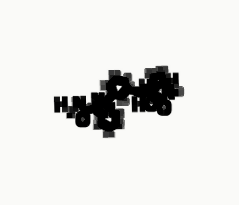 CN1C(=O)[C@@](O)(C#Cc2cccc(-c3nc(C(N)=O)c4ccccn34)c2)[C@@H]2CC[C@@H]21